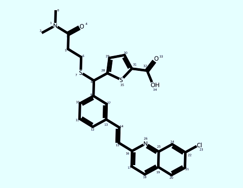 CN(C)C(=O)CCSC(c1cccc(C=Cc2ccc3ccc(Cl)cc3n2)c1)c1ccc(C(=O)O)s1